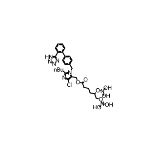 CCCCc1nc(Cl)c(COC(=O)CCCC(CON(O)O)ON(O)O)n1Cc1ccc(-c2ccccc2-c2nnn[nH]2)cc1